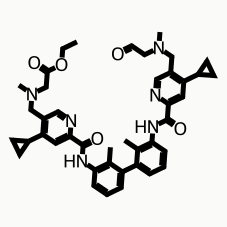 CCOC(=O)CN(C)Cc1cnc(C(=O)Nc2cccc(-c3cccc(NC(=O)c4cc(C5CC5)c(CN(C)CC=O)cn4)c3C)c2C)cc1C1CC1